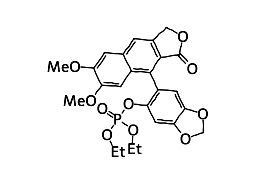 CCOP(=O)(OCC)Oc1cc2c(cc1-c1c3c(cc4cc(OC)c(OC)cc14)COC3=O)OCO2